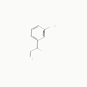 CCC(Cl)c1cccc(C)c1